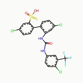 O=C(Nc1ccc(Cl)c(C(F)(F)F)c1)Nc1cc(Cl)ccc1-c1ccc(Cl)cc1S(=O)(O)=S